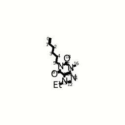 C=CCCCCn1c(=O)c2c(ncn2CC)n(C)c1=O